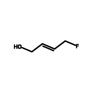 OCC=CCF